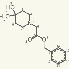 CC1(O)CCN(CC(=O)OCc2ccccc2)CC1